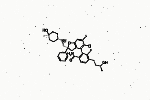 C[C@H](O)CCc1ccc(C(N)=O)c(-c2c(Cl)c(F)cc3c2[C@H](C)[C@@](CN[C@H]2CC[C@](C)(O)CC2)(c2ccccc2)O3)c1F